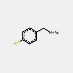 CC(=O)NCc1ccc([S])cc1